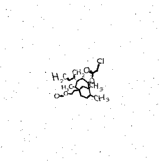 C=CC(=C)[C@@H]1C[C@@H](OC(=O)CCl)[C@@]2(C)CC(CCOC=O)(CCC2C)[C@H]1C